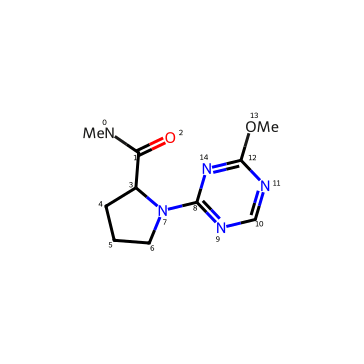 CNC(=O)C1CCCN1c1ncnc(OC)n1